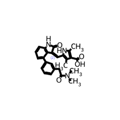 Cc1[nH]c(/C=C2\C(=O)Nc3cccc(-c4cccc(CC(=O)N(C)C)c4)c32)c(C)c1C(=O)O